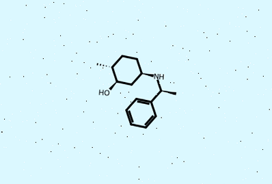 C[C@H](N[C@@H]1CC[C@@H](C)[C@H](O)C1)c1ccccc1